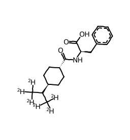 [2H]C([2H])([2H])C([C@H]1CC[C@H](C(=O)N[C@H](Cc2ccccc2)C(=O)O)CC1)C([2H])([2H])[2H]